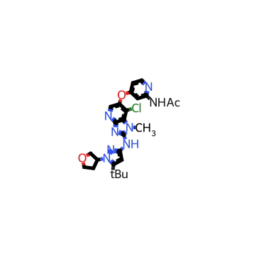 CC(=O)Nc1cc(Oc2cnc3nc(Nc4cc(C(C)(C)C)n(C5CCOC5)n4)n(C)c3c2Cl)ccn1